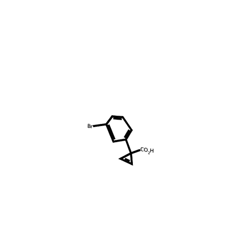 O=C(O)C1(c2cccc(Br)c2)C=C1